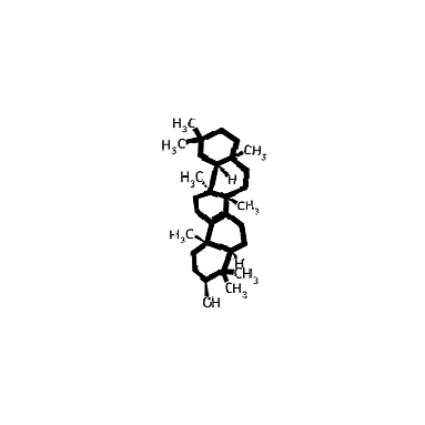 CC1(C)CC[C@]2(C)CC[C@]3(C)C4=C(CC[C@@]3(C)[C@@H]2C1)[C@@]1(C)CC[C@H](O)C(C)(C)[C@@H]1CC4